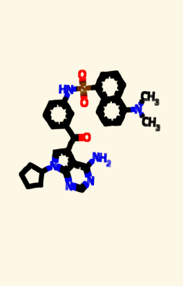 CN(C)c1cccc2c(S(=O)(=O)Nc3cccc(C(=O)c4cn(C5CCCC5)c5ncnc(N)c45)c3)cccc12